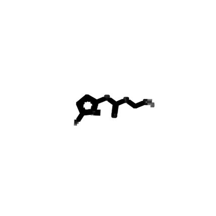 CCOC(=O)Oc1ccc(F)[nH]1